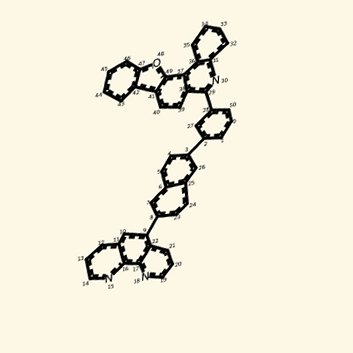 c1cc(-c2ccc3cc(-c4cc5cccnc5c5ncccc45)ccc3c2)cc(-c2nc3ccccc3c3c2ccc2c4ccccc4oc23)c1